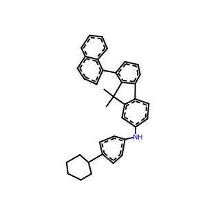 CC1(C)c2cc(Nc3ccc(C4CCCCC4)cc3)ccc2-c2cccc(-c3cccc4ccccc34)c21